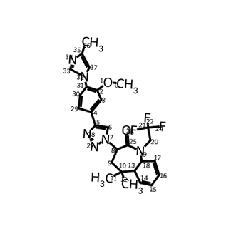 COc1cc(-c2cn(C3CC(C)(C)C4C=CC=CC4N(CC(F)(F)F)C3=O)nn2)ccc1-n1cnc(C)c1